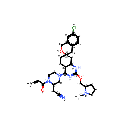 C=CC(=O)N1CCN(C2N=C(OCC3CCCN3C)NC3C[C@]4(CCC32)Cc2ccc(Cl)cc2CO4)CC1CC#N